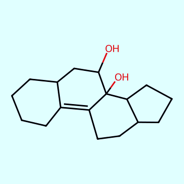 OC1CC2CCCCC2=C2CCC3CCCC3C21O